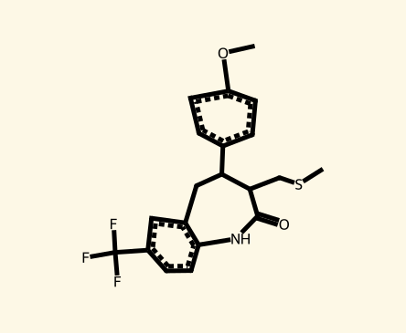 COc1ccc(C2Cc3cc(C(F)(F)F)ccc3NC(=O)C2CSC)cc1